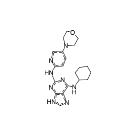 c1nc2c(NC3CCCCC3)nc(Nc3ccc(N4CCOCC4)cn3)nc2[nH]1